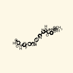 CCN(C)S(=O)(=O)Nc1cccc(C(=O)c2c[nH]c3ncc(-c4ccc(N5CCN(C(=O)CC6(O)CCN(c7ncc(NC8CCC(=O)NC8=O)cc7F)CC6)CC5)nc4)cc23)c1F